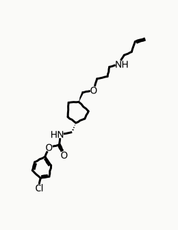 C=CCCNCCCOC[C@H]1CC[C@H](CNC(=O)Oc2ccc(Cl)cc2)CC1